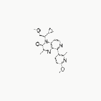 COC[C@@H](C1CC1)n1c(=O)c(C)nc2c(-c3ccc(OC)nc3C)nccc21